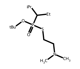 CCC(C(C)C)P(=O)(OC(C)(C)C)SCCN(C)C